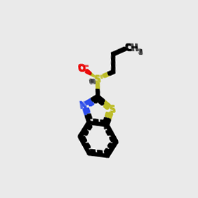 CCC[S@+]([O-])c1nc2ccccc2s1